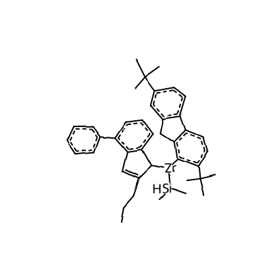 CCCC1=Cc2c(-c3ccccc3)cccc2[CH]1[Zr]([c]1c(C(C)(C)C)ccc2c1Cc1cc(C(C)(C)C)ccc1-2)[SiH](C)C